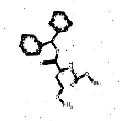 CC(C)(C)OC(=O)N[C@@H](CCON)C(=O)OC(c1ccccc1)c1ccccc1